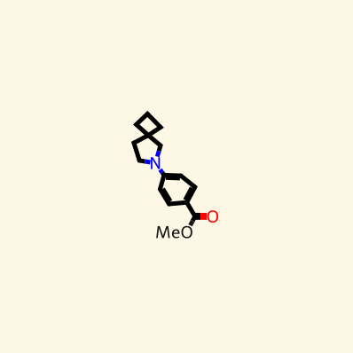 COC(=O)c1ccc(N2CCC3(CCC3)C2)cc1